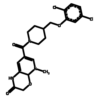 CN1C=C(C(=O)N2CCC(COc3cc(Cl)ccc3Cl)CC2)C=C2NC(=O)COC21